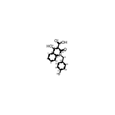 O=C(O)c1c(O)c2ccccc2n(Cc2ccc(F)cc2)c1=O